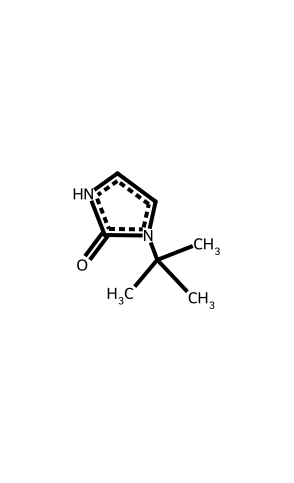 CC(C)(C)n1cc[nH]c1=O